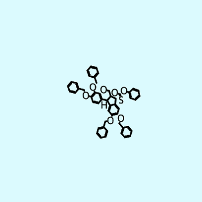 S=C(Oc1ccccc1)O[C@]12COc3c(ccc(OCc4ccccc4)c3OCc3ccccc3)[C@H]1c1cc(OCc3ccccc3)c(OCc3ccccc3)cc1C2